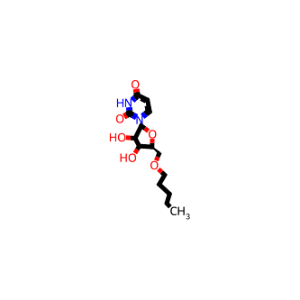 CCCCCOC[C@@H]1O[C@H](n2ccc(=O)[nH]c2=O)C(O)C1O